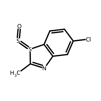 CC1=Nc2cc(Cl)ccc2S1=S=O